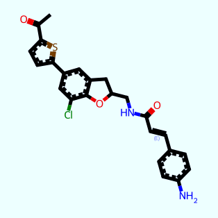 CC(=O)c1ccc(-c2cc(Cl)c3c(c2)CC(CNC(=O)/C=C/c2ccc(N)cc2)O3)s1